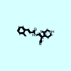 Cc1ccccc1C=CC(=O)Nc1sc2c(c1C#N)CCNC2